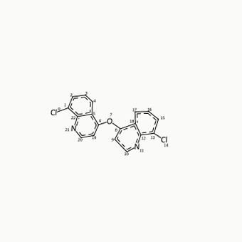 Clc1cccc2c(Oc3ccnc4c(Cl)cccc34)ccnc12